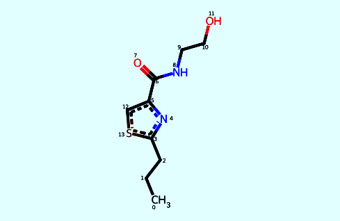 CCCc1nc(C(=O)NCCO)cs1